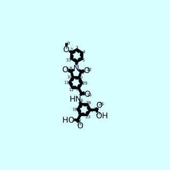 COc1cccc(N2C(=O)c3ccc(C(=O)Nc4cc(C(=O)O)cc(C(=O)O)c4)cc3C2=O)c1